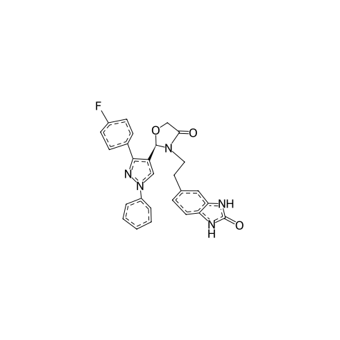 O=C1CO[C@H](c2cn(-c3ccccc3)nc2-c2ccc(F)cc2)N1CCc1ccc2[nH]c(=O)[nH]c2c1